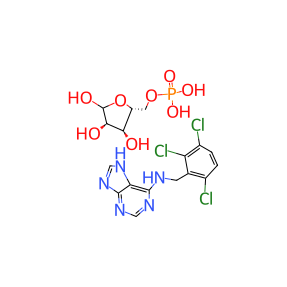 Clc1ccc(Cl)c(CNc2ncnc3nc[nH]c23)c1Cl.O=P(O)(O)OC[C@H]1OC(O)[C@H](O)[C@@H]1O